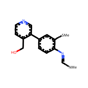 CN/C=N/c1ccc(-c2cnccc2CO)cc1SC